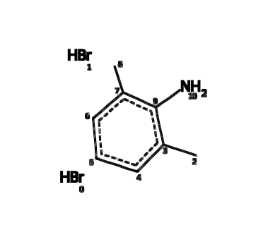 Br.Br.Cc1cccc(C)c1N